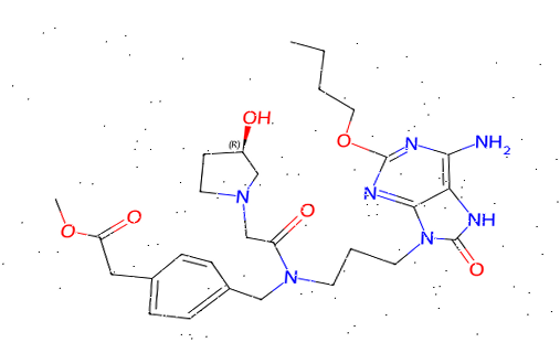 CCCCOc1nc(N)c2[nH]c(=O)n(CCCN(Cc3ccc(CC(=O)OC)cc3)C(=O)CN3CC[C@@H](O)C3)c2n1